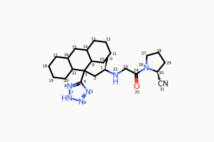 C[C@H](CC1(c2nn[nH]n2)C2CCCCC2CC2CCCCC21)NCC(=O)N1CCC[C@H]1C#N